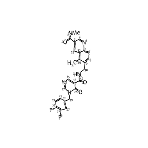 CNC(=O)c1cnc2ccc(CNC(=O)c3cncn(Cc4ccc(F)c(F)c4)c3=O)c(C)c2c1